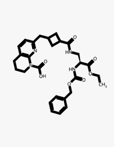 CCOC(=O)[C@H](CNC(=O)C1CC(Cc2ccc3c(n2)N(C(=O)O)CCC3)C1)NC(=O)OCc1ccccc1